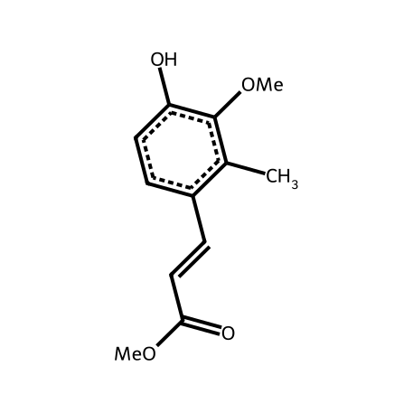 COC(=O)C=Cc1ccc(O)c(OC)c1C